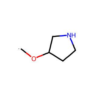 [CH2]OC1CCNC1